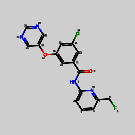 O=C(Nc1cccc(CF)n1)c1cc(Cl)cc(Oc2cncnc2)c1